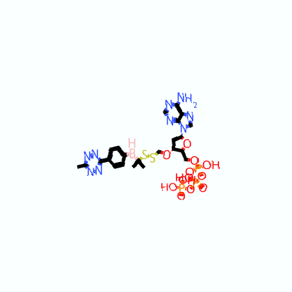 Cc1nnc(-c2ccc(BC(C)(C)SSCO[C@@H]3C[C@H](n4cnc5c(N)ncnc54)OC3COP(=O)(O)OP(=O)(O)OP(=O)(O)O)cc2)nn1